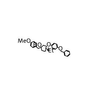 CCN1CCC(O)(Cc2ccc(OC)cc2)CC1Oc1ccc(OCc2ccccc2)cc1